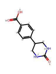 O=C1NCC(c2ccc(C(=O)O)cc2)CN1